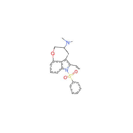 C=Cc1c2c3c(cccc3n1S(=O)(=O)c1ccccc1)OCC(N(C)C)C2